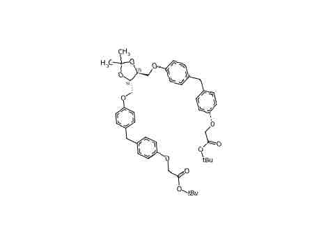 CC(C)(C)OC(=O)COc1ccc(Cc2ccc(OC[C@@H]3OC(C)(C)O[C@H]3COc3ccc(Cc4ccc(OCC(=O)OC(C)(C)C)cc4)cc3)cc2)cc1